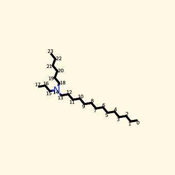 CCCCCCCCCCCCCCN(CCC)CCCCCC